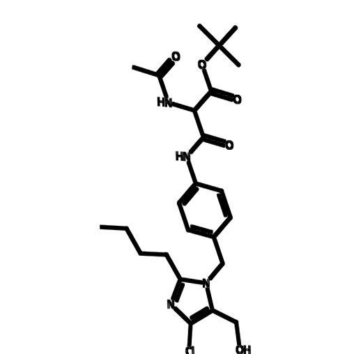 CCCCc1nc(Cl)c(CO)n1Cc1ccc(NC(=O)C(NC(C)=O)C(=O)OC(C)(C)C)cc1